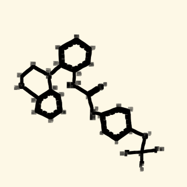 O=C(Nc1ccc(OC(F)(F)F)cc1)Nc1ccccc1N1CCOc2ccccc21